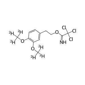 [2H]C([2H])([2H])Oc1ccc(CCOC(=N)C(Cl)(Cl)Cl)cc1OC([2H])([2H])[2H]